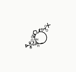 C=C1[C@@H](NC(=O)OC(C)(C)C)CCCCC/C=C\[C@@H]2C[C@@]2(C(=O)NS(=O)(=O)C2CC2)NC(=O)[C@@H]2CCCN12